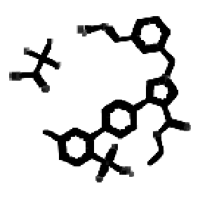 CCOC(=O)c1cn(Cc2cccc(C=NN)c2)cc1-c1ccc(-c2cc(C)ccc2S(N)(=O)=O)cc1.O=C(O)C(F)(F)F